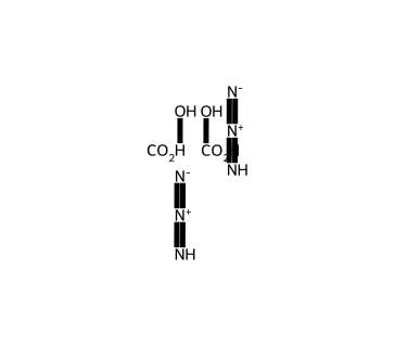 O=C(O)O.O=C(O)O.[N-]=[N+]=N.[N-]=[N+]=N